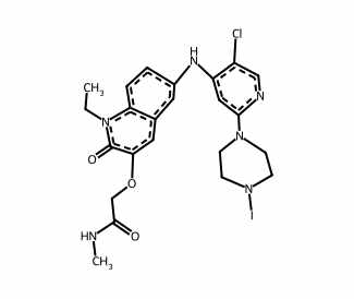 CCn1c(=O)c(OCC(=O)NC)cc2cc(Nc3cc(N4CCN(I)CC4)ncc3Cl)ccc21